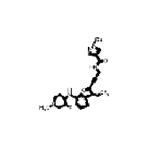 CN1CCC(Nc2cccc3c(CC(F)(F)F)c(C#CCNC(=O)c4cnn(C(C)(C)C)c4)sc23)C(F)C1